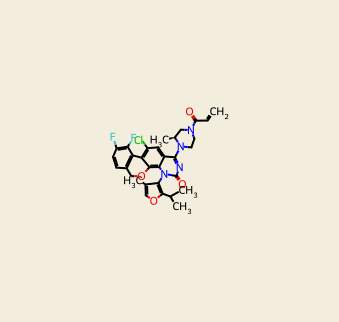 C=CC(=O)N1CCN(c2nc(=O)n(-c3c(C)coc3C(C)C)c3c4c(c(Cl)cc23)-c2c(ccc(F)c2F)CO4)[C@@H](C)C1